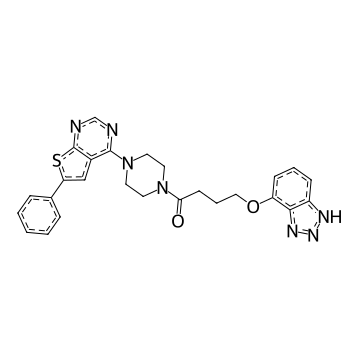 O=C(CCCOc1cccc2[nH]nnc12)N1CCN(c2ncnc3sc(-c4ccccc4)cc23)CC1